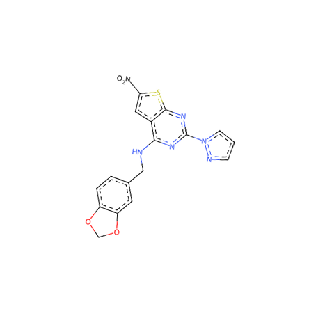 O=[N+]([O-])c1cc2c(NCc3ccc4c(c3)OCO4)nc(-n3cccn3)nc2s1